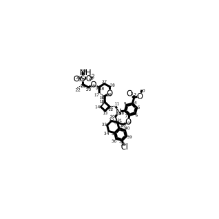 COC(=O)c1ccc2c(c1)N(C[C@@H]1CC[C@H]1[C@@H]1C[C@H](OC[C@H](C)S(N)(=O)=O)CCO1)C[C@@]1(CCCc3cc(Cl)ccc31)CO2